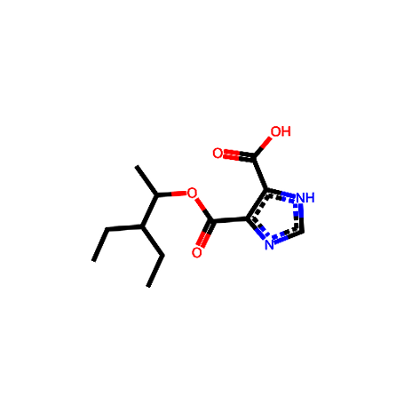 CCC(CC)C(C)OC(=O)c1nc[nH]c1C(=O)O